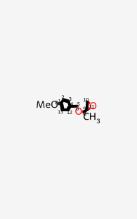 COc1ccc(COC(C)C2CO2)cc1